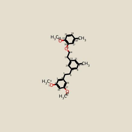 COc1cc(CCc2cc(C)cc(CCOc3cc(C)ccc3OC)c2)cc(OC)c1